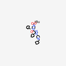 CC(C)(C)OC(=O)N1CCN(C(=O)c2ncn(C3CCN(Cc4ccccc4)CC3)c2-c2ccccc2)[C@H](Cc2ccccc2)C1